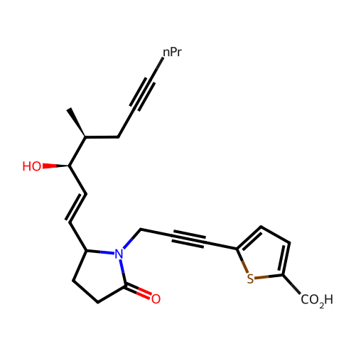 CCCC#CC[C@H](C)[C@H](O)C=CC1CCC(=O)N1CC#Cc1ccc(C(=O)O)s1